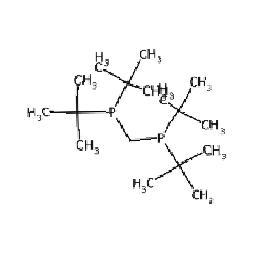 CC(C)(C)P(CP(C(C)(C)C)C(C)(C)C)C(C)(C)C